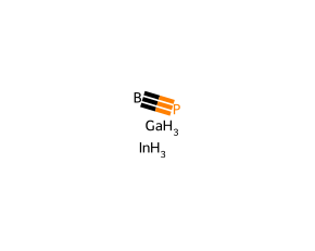 B#P.[GaH3].[InH3]